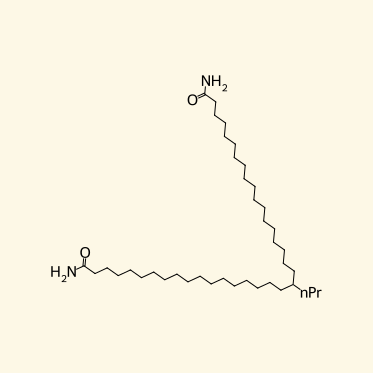 CCCC(CCCCCCCCCCCCCCCCCC(N)=O)CCCCCCCCCCCCCCCCCC(N)=O